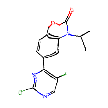 CC(C)n1c(=O)oc2ccc(-c3nc(Cl)ncc3F)cc21